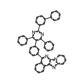 c1ccc(-c2cccc(-c3nc(-c4ccccc4)c(-c4cccc(-c5nc6c(nc7ccccn76)c6ccccc56)c4)c(-c4ccccc4)n3)c2)cc1